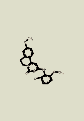 COc1ccc2c(c1)CCn1c-2cc(Nc2c(Cl)cccc2OC)nc1=O